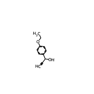 C#CC(O)c1ccc(OCC)cc1